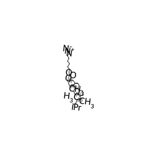 CC(C)CCC[C@@H](C)C1CCC2C3CC=C4C[C@@H](OC(=O)OCCCCCCN=[N+]=[N-])CC[C@]4(C)C3CC[C@@]21C